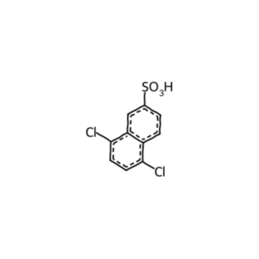 O=S(=O)(O)c1ccc2c(Cl)ccc(Cl)c2c1